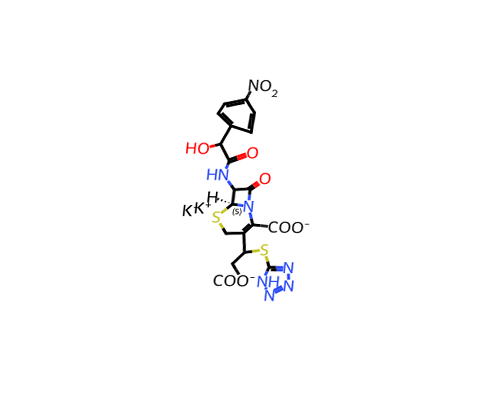 O=C([O-])CC(Sc1nnn[nH]1)C1=C(C(=O)[O-])N2C(=O)C(NC(=O)C(O)c3ccc([N+](=O)[O-])cc3)[C@@H]2SC1.[K+].[K+]